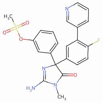 CN1C(=O)C(c2cccc(OS(C)(=O)=O)c2)(c2ccc(F)c(-c3cccnc3)c2)N=C1N